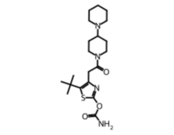 CC(C)(C)c1sc(OC(N)=O)nc1CC(=O)N1CCC(N2CCCCC2)CC1